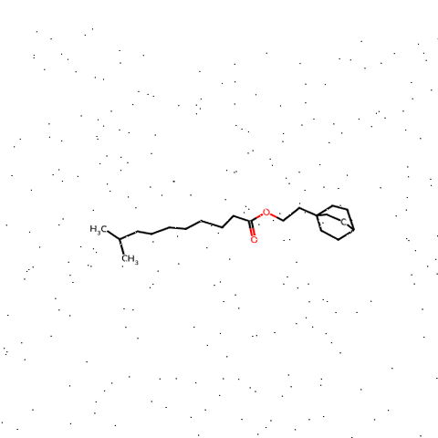 CC(C)CCCCCCCC(=O)OCCC12CCC(CC1)CC2